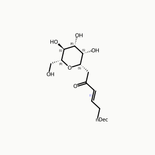 CCCCCCCCCCC/C=C/C(=O)C[C@@H]1O[C@H](CO)[C@@H](O)[C@H](O)[C@@H]1O